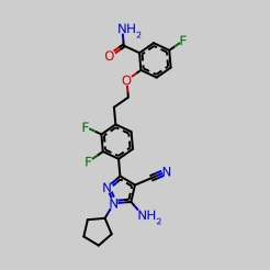 N#Cc1c(-c2ccc(CCOc3ccc(F)cc3C(N)=O)c(F)c2F)nn(C2CCCC2)c1N